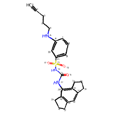 C#CCCCNc1cccc(S(=O)(=O)NC(=O)Nc2c3c(cc4c2CCC4)CCC3)c1